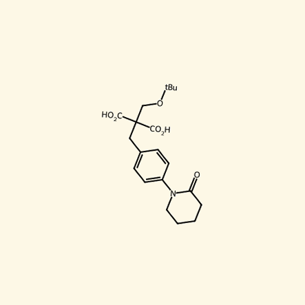 CC(C)(C)OCC(Cc1ccc(N2CCCCC2=O)cc1)(C(=O)O)C(=O)O